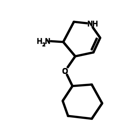 NC1CNC=CC1OC1CCCCC1